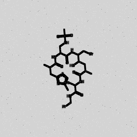 Cc1csc(CC(C)C(=O)NC(CNS(C)(=O)=O)C(=O)NC(CC(C)C)C(O)CC(C)C(=O)NC(C(=O)NCC(C)C)C(C)C)n1